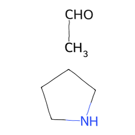 C1CCNC1.CC=O